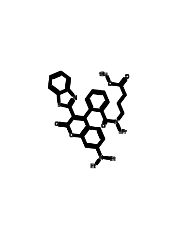 CCCN(CCCC(=O)OC(C)(C)C)C(=O)c1ccccc1-c1c(-c2nc3ccccc3s2)c(=O)oc2cc(N(CC)CC)ccc12